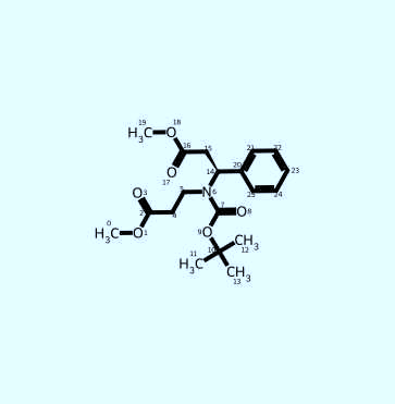 COC(=O)CCN(C(=O)OC(C)(C)C)[C@@H](CC(=O)OC)c1ccccc1